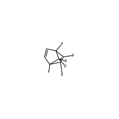 FC1=C(F)C2(F)C=CC1(F)C2(F)F